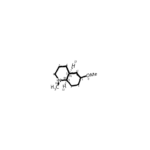 COC1CC[C@@H]2[C@@H](CCCN2C)C1